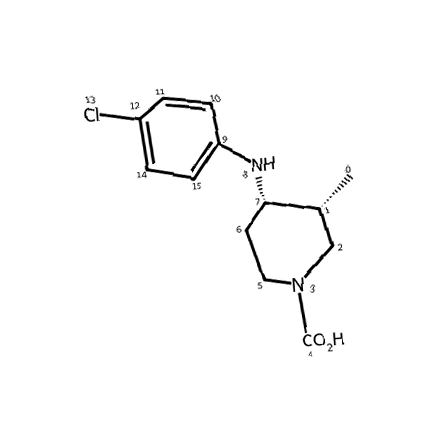 C[C@@H]1CN(C(=O)O)CC[C@@H]1Nc1ccc(Cl)cc1